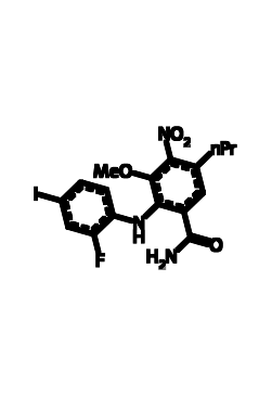 CCCc1cc(C(N)=O)c(Nc2ccc(I)cc2F)c(OC)c1[N+](=O)[O-]